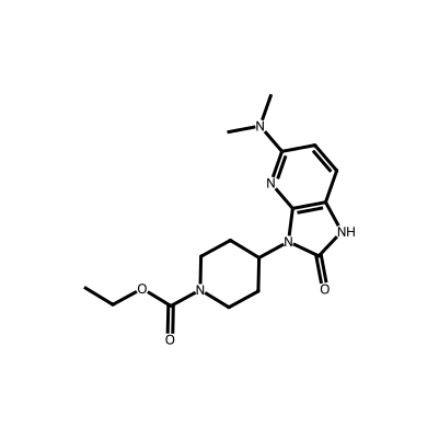 CCOC(=O)N1CCC(n2c(=O)[nH]c3ccc(N(C)C)nc32)CC1